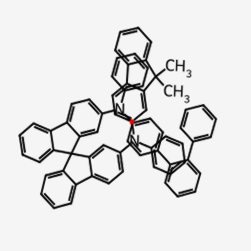 CC1(C)c2ccccc2-c2ccc(N(c3ccccc3)c3ccc4c(c3)C3(c5ccccc5-c5ccc(N(c6ccccc6)c6ccc(-c7ccccc7-c7ccccc7)cc6)cc53)c3ccccc3-4)cc21